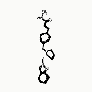 O=C(/C=C/c1ccc(CN2CCC[C@@H]2Cn2cc3ccccc3n2)cc1)NO